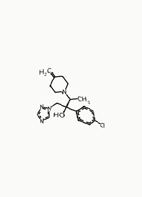 C=C1CCN(C(C)C(O)(Cn2cncn2)c2ccc(Cl)cc2)CC1